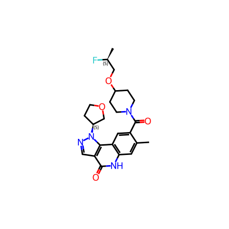 Cc1cc2[nH]c(=O)c3cnn([C@H]4CCOC4)c3c2cc1C(=O)N1CCC(OC[C@H](C)F)CC1